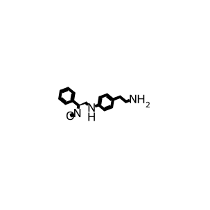 NCCc1ccc(NC[C@@H](N=O)c2ccccc2)cc1